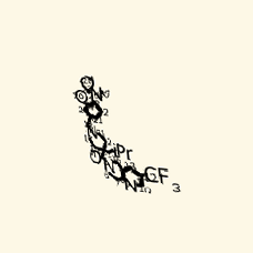 CC(C)CC1(C(=O)N2CCc3ncc(C(F)(F)F)cc3C2)CCN(Cc2ccc3c(c2)oc(=O)n3C)CC1